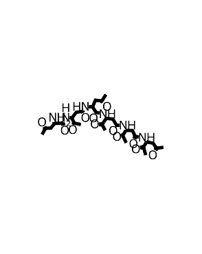 CC(=O)CC(N)C(=O)NC(CC(=O)NC(CC(C)=O)C(=O)NC(CC(=O)NC(CC(=O)NC(CC(C)=O)C(C)=O)C(C)=O)C(C)=O)C(C)=O